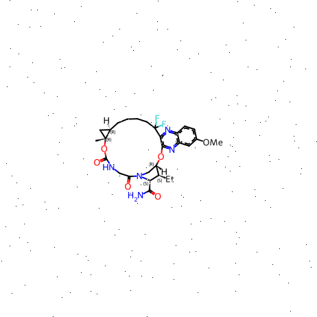 CC[C@@H]1[C@@H]2CN(C(=O)CNC(=O)O[C@]3(C)C[C@H]3CCCCC(F)(F)c3nc4ccc(OC)cc4nc3O2)[C@@H]1C(N)=O